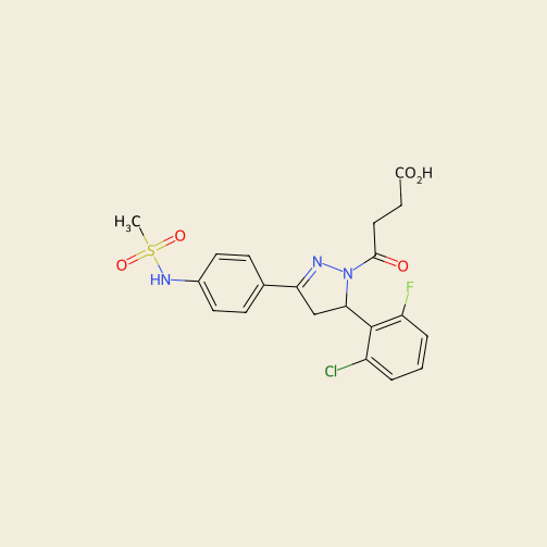 CS(=O)(=O)Nc1ccc(C2=NN(C(=O)CCC(=O)O)C(c3c(F)cccc3Cl)C2)cc1